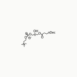 CCCCCCCCCCCCC(=O)OC[C@@H](O)COP(=O)([O-])OCC[N+](C)(C)C